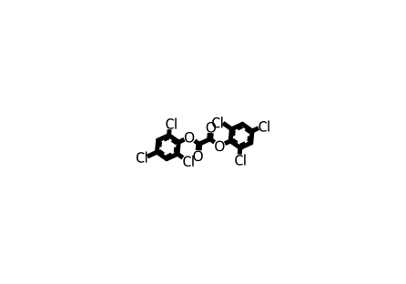 O=C(Oc1c(Cl)cc(Cl)cc1Cl)C(=O)Oc1c(Cl)cc(Cl)cc1Cl